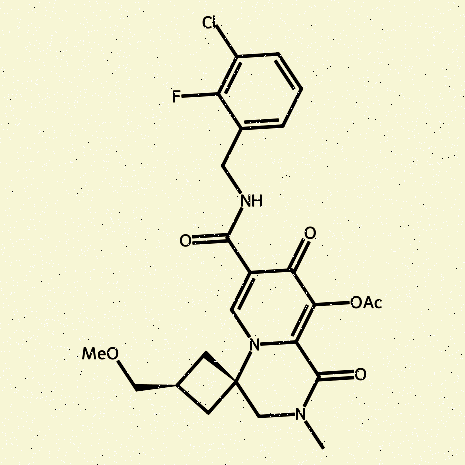 COC[C@H]1C[C@@]2(CN(C)C(=O)c3c(OC(C)=O)c(=O)c(C(=O)NCc4cccc(Cl)c4F)cn32)C1